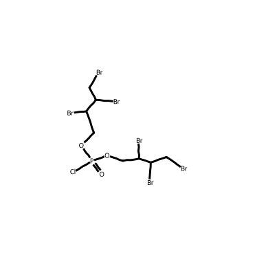 O=P(Cl)(OCC(Br)C(Br)CBr)OCC(Br)C(Br)CBr